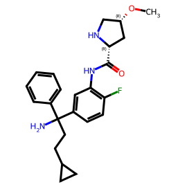 CO[C@H]1CN[C@@H](C(=O)Nc2cc(C(N)(CCC3CC3)c3ccccc3)ccc2F)C1